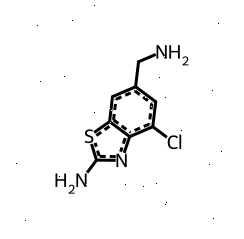 NCc1cc(Cl)c2nc(N)sc2c1